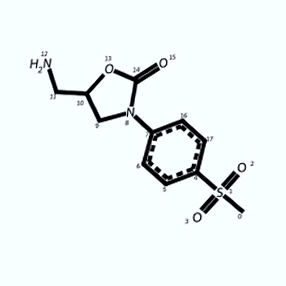 CS(=O)(=O)c1ccc(N2CC(CN)OC2=O)cc1